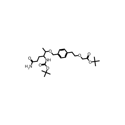 CC(OCc1ccc(CCOCC(=O)OC(C)(C)C)cc1)C(CCC(N)=O)NC(=O)OC(C)(C)C